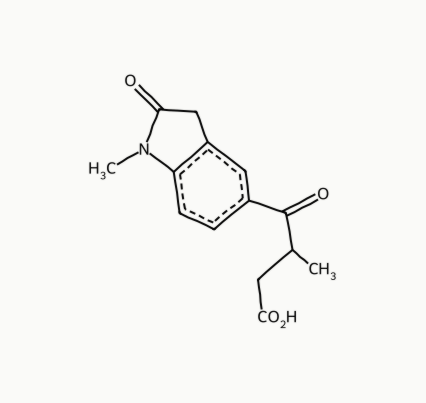 CC(CC(=O)O)C(=O)c1ccc2c(c1)CC(=O)N2C